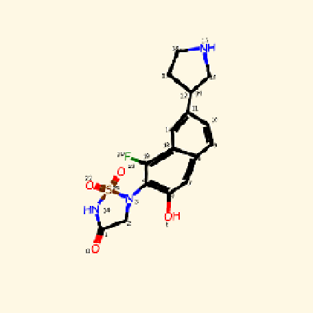 O=C1CN(c2c(O)cc3ccc([C@H]4CCNC4)cc3c2F)S(=O)(=O)N1